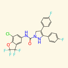 O=C(Nc1cc(Cl)c2c(c1)C(F)(F)C(F)(F)O2)N1CC(c2ccc(F)cc2)=C(c2ccc(F)cc2)N1